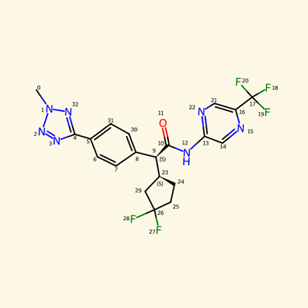 Cn1nnc(-c2ccc([C@@H](C(=O)Nc3cnc(C(F)(F)F)cn3)[C@H]3CCC(F)(F)C3)cc2)n1